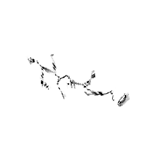 OCCNC(=S)NCc1c(F)ccc(Br)c1F